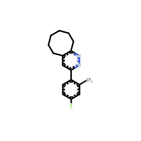 Fc1ccc(-c2cc3c(nn2)CCCCCC3)c(C(F)(F)F)c1